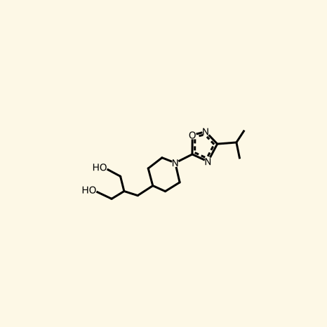 CC(C)c1noc(N2CCC(CC(CO)CO)CC2)n1